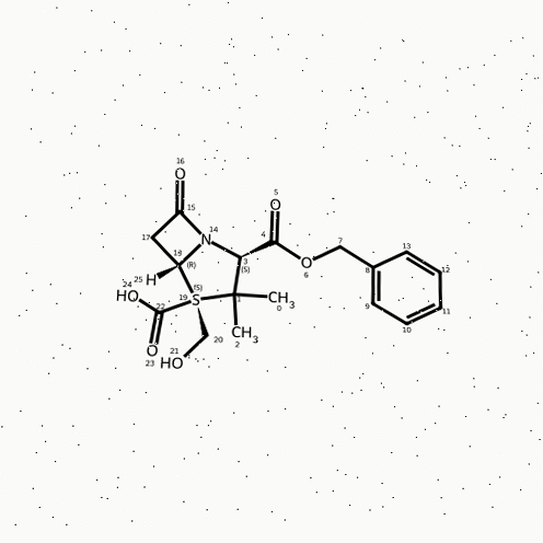 CC1(C)[C@H](C(=O)OCc2ccccc2)N2C(=O)C[C@H]2[S@@]1(CO)C(=O)O